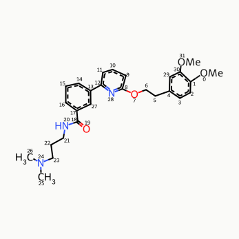 COc1ccc(CCOc2cccc(-c3cccc(C(=O)NCCCN(C)C)c3)n2)cc1OC